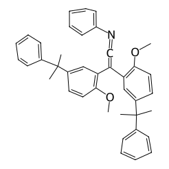 COc1ccc(C(C)(C)c2ccccc2)cc1C(=C=Nc1ccccc1)c1cc(C(C)(C)c2ccccc2)ccc1OC